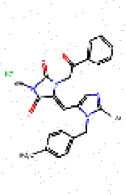 CCCCc1ncc(/C=C2/C(=O)N(CCCC)C(=O)N2CC(=O)c2ccccc2)n1Cc1ccc(C(=O)O)cc1.Cl